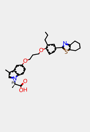 CCCc1cc(-c2nc3c(s2)CCCC3)ccc1OCCCOc1ccc2c(c1)c(C)cn2[C@H](C)C(=O)O